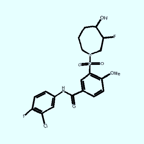 COc1ccc(C(=O)Nc2ccc(F)c(Cl)c2)cc1S(=O)(=O)N1CCCC(O)C(F)C1